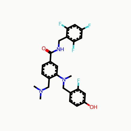 CN(C)Cc1ccc(C(=O)NCc2c(F)cc(F)cc2F)cc1N(C)Cc1ccc(O)cc1F